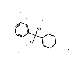 CC(=O)C(C(C)=O)(c1ccccc1)C1CCCCC1